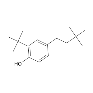 CC(C)(C)CCc1ccc(O)c(C(C)(C)C)c1